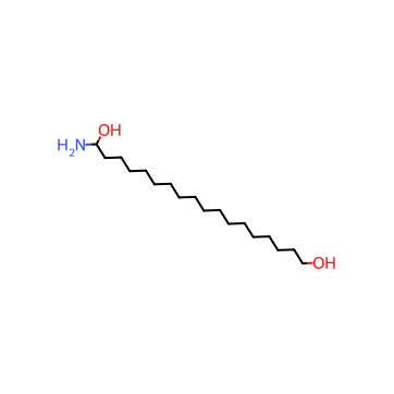 NC(O)CCCCCCCCCCCCCCCCCO